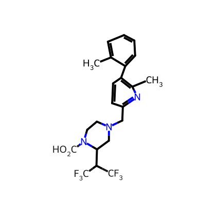 Cc1ccccc1-c1ccc(CN2CCN(C(=O)O)C(C(C(F)(F)F)C(F)(F)F)C2)nc1C